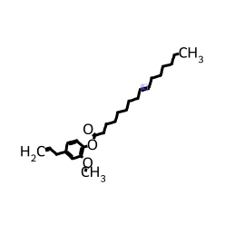 C=CCc1ccc(OC(=O)CCCCCCC/C=C/CCCCCC)c(OC)c1